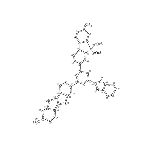 CCCCCCCCC1(CCCCCCCC)c2cc(C)ccc2-c2ccc(-c3cc(-c4ccc5c(c4)sc4c6ccc(C)cc6sc54)cc(-c4nc5ccccc5s4)c3)cc21